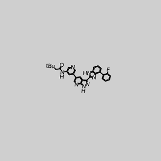 CC(C)(C)CC(=O)Nc1cncc(-c2cnc3[nH]nc(-c4nc5c(-c6ccccc6F)cccc5[nH]4)c3c2)c1